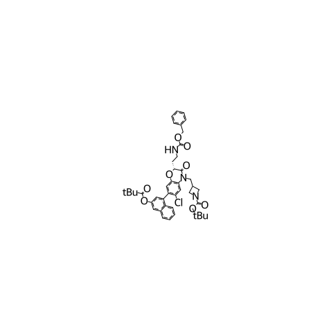 CC(C)(C)OC(=O)N1CC(CN2C(=O)[C@@H](CCNC(=O)OCc3ccccc3)Oc3cc(-c4cc(OC(=O)C(C)(C)C)cc5ccccc45)c(Cl)cc32)C1